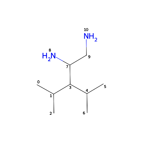 CC(C)C(C(C)C)C(N)CN